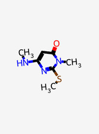 CNc1cc(=O)n(C)c(SC)n1